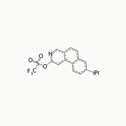 CC(C)c1ccc2c(ccc3cnc(OS(=O)(=O)C(F)(F)F)cc32)c1